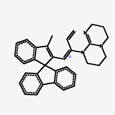 C=C/C(=C\C1=C(C)c2ccccc2C12c1ccccc1-c1ccccc12)N1CCCN2CCCN=C21